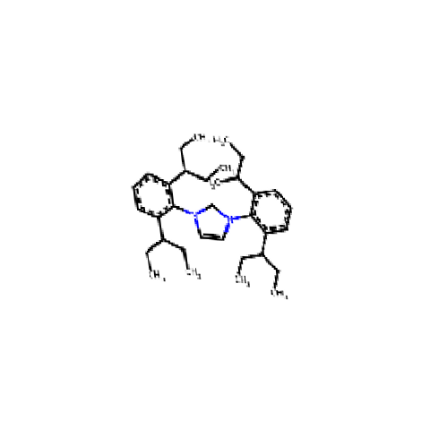 CCC(C)c1cccc(C(CC)CC)c1N1C=CN(c2c(C(CC)CC)cccc2C(CC)CC)C1